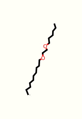 [CH2]CCCCCCCCCOCCOCCCCCC